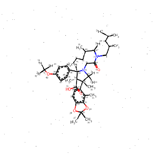 [2H]C(C)CC(C)CN(C(=O)CN1C([2H])([2H])[C@](C)(c2ccc3c(c2C)OC(C)(C)O3)[C@@](C)(C(=O)O)[C@]1([2H])c1ccc(OC([2H])([2H])[2H])cc1)C([2H])C(C)CCC